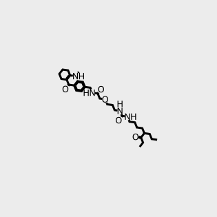 CCCC(CCCCNC(=O)NCCCOCC(=O)NCc1ccc(C(=O)C2=C(NC)CCCC2)cc1)C(=O)CC